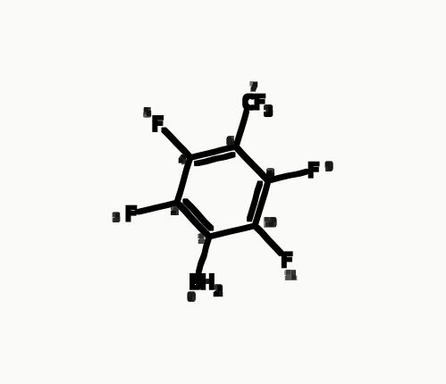 Bc1c(F)c(F)c(C(F)(F)F)c(F)c1F